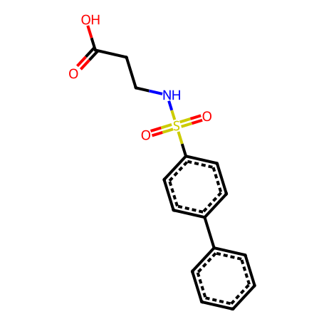 O=C(O)CCNS(=O)(=O)c1ccc(-c2ccccc2)cc1